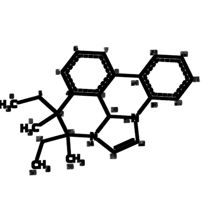 CCC1(C)c2cccc3c2C2N(C=CN2C1(C)CC)c1ccccc1-3